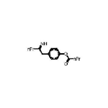 CCCC(=N)Cc1ccc(OC(=O)CCC)cc1